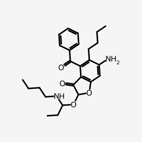 CCCCNC(CC)OC1Oc2cc(N)c(CCCC)c(C(=O)c3ccccc3)c2C1=O